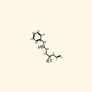 C=CCC(CC)CCNCc1ccccc1